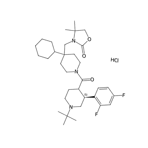 CC(C)(C)N1CCC(C(=O)N2CCC(CN3C(=O)OCC3(C)C)(C3CCCCC3)CC2)[C@@H](c2ccc(F)cc2F)C1.Cl